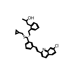 CC(O)Cc1ccccc1CC[C@@H](SCC1CC1)c1cccc(C=Cc2ccc3ccc(Cl)cc3n2)c1